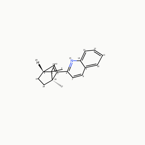 CC1(C)[C@H]2C=C(c3ccc4ccccc4n3)[C@@]1(C)CC2